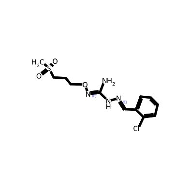 CS(=O)(=O)CCCO/N=C(\N)N/N=C/c1ccccc1Cl